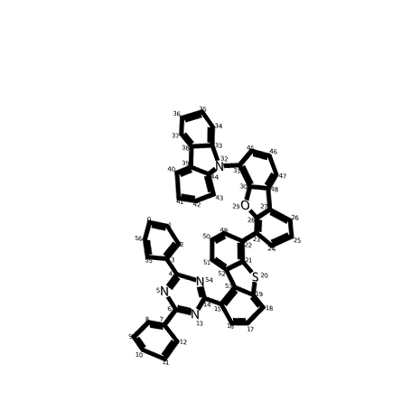 c1ccc(-c2nc(-c3ccccc3)nc(-c3cccc4sc5c(-c6cccc7c6oc6c(-n8c9ccccc9c9ccccc98)cccc67)cccc5c34)n2)cc1